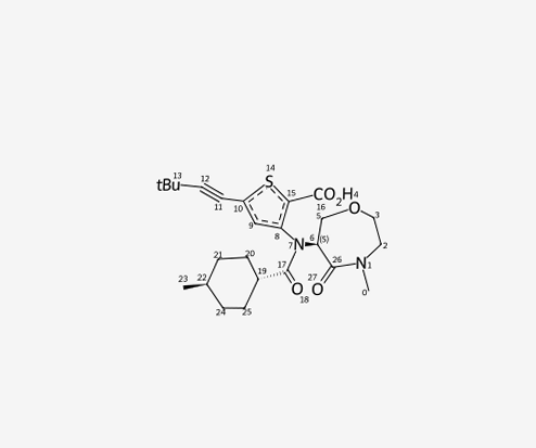 CN1CCOC[C@H](N(c2cc(C#CC(C)(C)C)sc2C(=O)O)C(=O)[C@H]2CC[C@H](C)CC2)C1=O